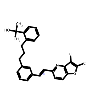 CC(C)(O)c1ccccc1CC[CH]c1cccc(/C=C/c2ccc3sc(Cl)c(Cl)c3n2)c1